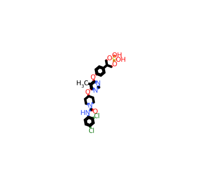 Cc1c(Oc2ccc(C3COS(O)(O)OC3)cc2)ncnc1OC1CCN(C(=O)Nc2ccc(Cl)cc2Cl)CC1